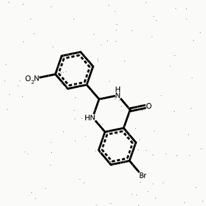 O=C1NC(c2cccc([N+](=O)[O-])c2)Nc2ccc(Br)cc21